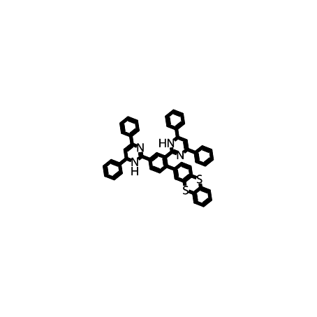 C1=C(c2ccccc2)N=C(c2ccc(-c3ccc4c(c3)Sc3ccccc3S4)c(C3=NC(c4ccccc4)=CC(c4ccccc4)N3)c2)NC1c1ccccc1